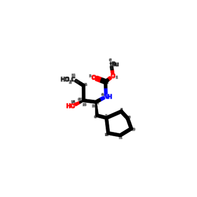 CC(C)(C)OC(=O)N[C@@H](CC1CCCCC1)[C@@H](O)CC(=O)O